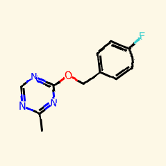 Cc1ncnc(OCc2ccc(F)cc2)n1